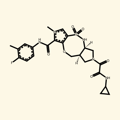 Cc1cc(NC(=O)c2c3c(cn2C)S(=O)(=O)N[C@H]2CN(C(=O)C(=O)NC4CC4)C[C@H]2CO3)ccc1F